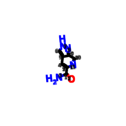 NC(=O)c1cc2c[nH]nc2cn1